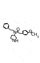 COc1ccc(CC(=O)N(CCc2ccccc2)C2CCNCC2)cc1